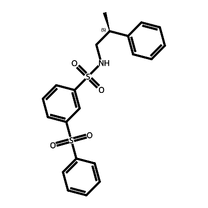 C[C@H](CNS(=O)(=O)c1cccc(S(=O)(=O)c2ccccc2)c1)c1ccccc1